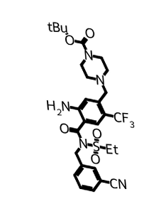 CCS(=O)(=O)N(Cc1cccc(C#N)c1)C(=O)c1cc(C(F)(F)F)c(CN2CCN(C(=O)OC(C)(C)C)CC2)cc1N